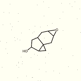 OC1CC2CC3OC3CC23CC13